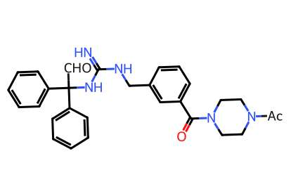 CC(=O)N1CCN(C(=O)c2cccc(CNC(=N)NC(C=O)(c3ccccc3)c3ccccc3)c2)CC1